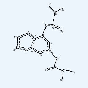 CC(C)C(=O)Oc1cc(OC(=O)C(C)C)c2ccccc2c1